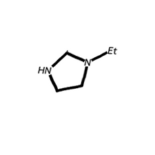 CCN1[CH]NCC1